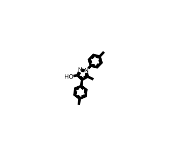 Cc1ccc(-c2c(O)nn(-c3ccc(C)cc3)c2C)cc1